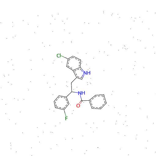 O=C(NC(Cc1c[nH]c2ccc(Cl)cc12)c1cccc(F)c1)c1ccccc1